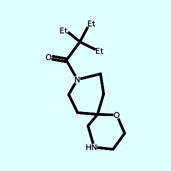 CCC(CC)(CC)C(=O)N1CCC2(CC1)CNCCO2